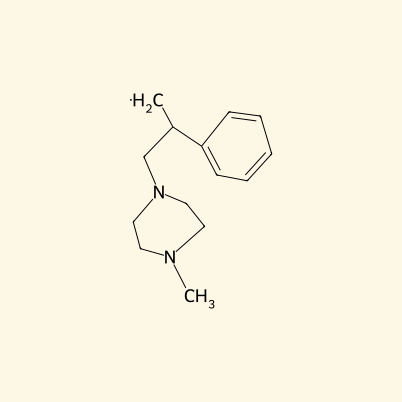 [CH2]C(CN1CCN(C)CC1)c1ccccc1